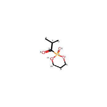 CC(C)C(=O)P1(=O)OCCCO1